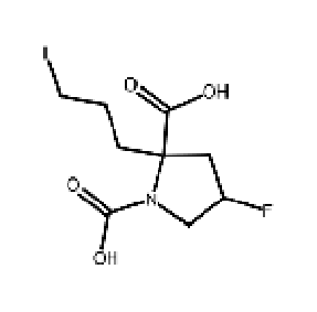 O=C(O)N1CC(F)CC1(CCCI)C(=O)O